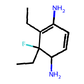 CCC1=C(N)C=CC(N)C1(F)CC